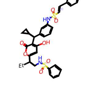 CCC(CNS(=O)(=O)c1ccccc1)c1cc(O)c(C(c2cccc(NS(=O)(=O)/C=C/c3ccccc3)c2)C2CC2)c(=O)o1